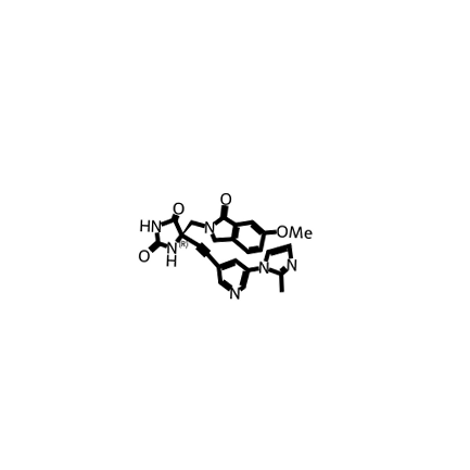 COc1ccc2c(c1)C(=O)N(C[C@@]1(C#Cc3cncc(-n4ccnc4C)c3)NC(=O)NC1=O)C2